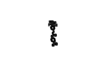 O=C(C=Cc1ccc(C(F)(F)P(=O)(O)O)cc1)Oc1ccc([N+](=O)[O-])cc1